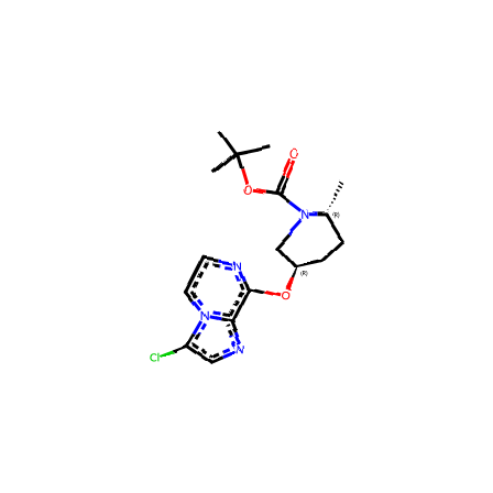 C[C@@H]1CC[C@@H](Oc2nccn3c(Cl)cnc23)CN1C(=O)OC(C)(C)C